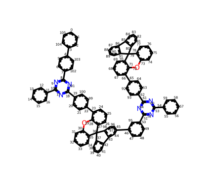 c1ccc(-c2ccc(-c3nc(-c4ccccc4)nc(-c4ccc(-c5cccc6c5Oc5ccccc5C65c6ccccc6-c6cc(-c7cccc(-c8nc(-c9ccccc9)nc(-c9ccc(-c%10cccc%11c%10Oc%10ccccc%10C%11%10c%11ccccc%11-c%11ccccc%11%10)cc9)n8)c7)ccc65)cc4)n3)cc2)cc1